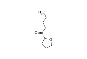 CCCCC(=O)C1CCCO1